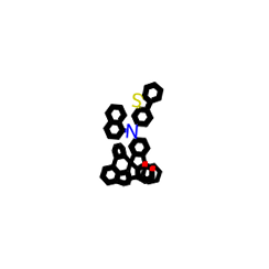 c1ccc2c(c1)-c1ccc(N(c3ccc4c(c3)sc3ccccc34)c3cccc4ccccc34)cc1C21c2ccccc2-c2cccc3ccc(C4CCCCC4)c1c23